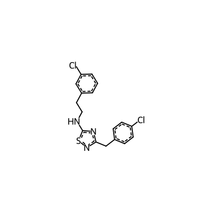 Clc1ccc(Cc2nsc(NCCc3cccc(Cl)c3)n2)cc1